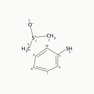 C[S+](C)[O-].Sc1ccccc1